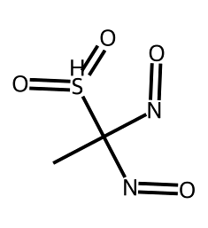 CC(N=O)(N=O)[SH](=O)=O